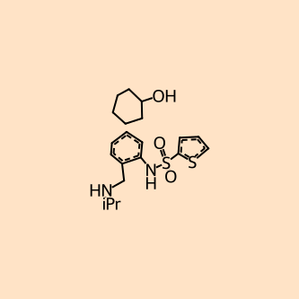 CC(C)NCc1ccccc1NS(=O)(=O)c1cccs1.OC1CCCCC1